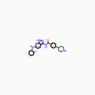 CN1CCC(c2ccc(C(=O)Nc3n[nH]c4nc(N(C)c5ccccc5F)ccc34)cc2)CC1